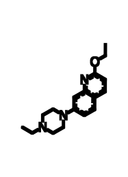 CCOc1ccc2ccc(N3CCN(CC)CC3)cc2n1